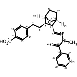 CN(N=C[C@@H]1[C@@H](CCc2ccc(C(=O)O)cc2)[C@H]2CC[C@@H]1O2)C(=O)c1cccnc1